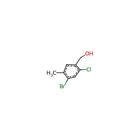 Cc1cc(CO)c(Cl)cc1Br